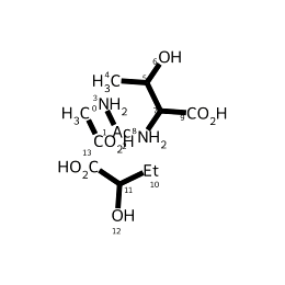 CC(=O)O.CC(N)=O.CC(O)C(N)C(=O)O.CCC(O)C(=O)O